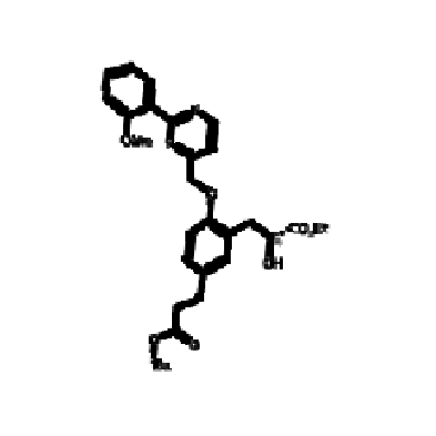 CCOC(=O)[C@H](O)Cc1cc(CCC(=O)OC(C)(C)C)ccc1OCc1ccnc(-c2ccccc2OC)n1